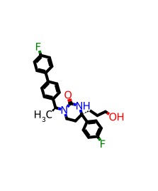 C[C@@H](c1ccc(-c2ccc(F)cc2)cc1)N1CC[C@](CCCO)(c2ccc(F)cc2)NC1=O